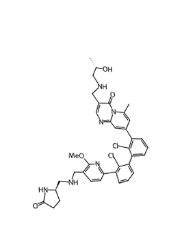 COc1nc(-c2cccc(-c3cccc(-c4cc(C)n5c(=O)c(CNC[C@H](C)O)cnc5c4)c3Cl)c2Cl)ccc1CNC[C@H]1CCC(=O)N1